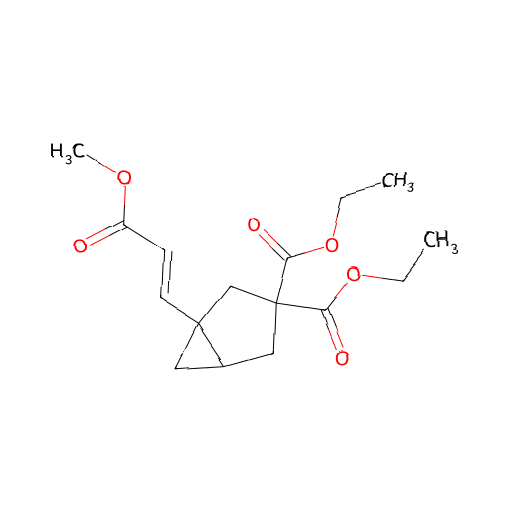 CCOC(=O)C1(C(=O)OCC)CC2CC2(C=CC(=O)OC)C1